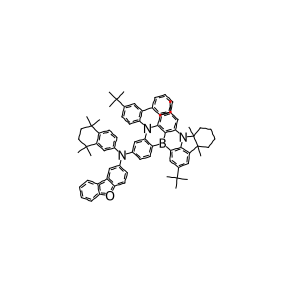 Cc1cc2c3c(c1)N1c4c(cc(C(C)(C)C)cc4C4(C)CCCCC14C)B3c1ccc(N(c3ccc4c(c3)C(C)(C)CCC4(C)C)c3ccc4oc5ccccc5c4c3)cc1N2c1ccc(C(C)(C)C)cc1-c1ccccc1